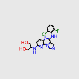 OCC(CO)Nc1ccc2nc(Nc3c(F)cccc3Cl)c3cncn3c2n1